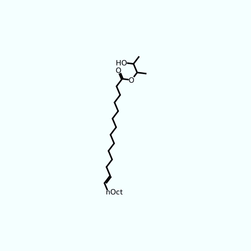 CCCCCCCCC=CCCCCCCCCCCCC(=O)OC(C)C(C)O